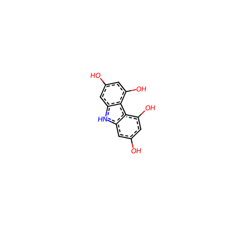 Oc1cc(O)c2c(c1)[nH]c1cc(O)cc(O)c12